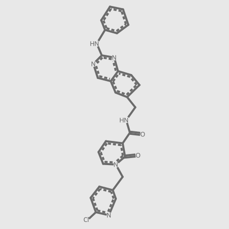 O=C(NCc1ccc2nc(Nc3ccccc3)ncc2c1)c1cccn(Cc2ccc(Cl)nc2)c1=O